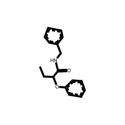 CCC(Oc1ccccc1)C(=O)NCc1ccccc1